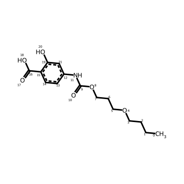 CCCCOCCCOC(=O)Nc1ccc(C(=O)O)c(O)c1